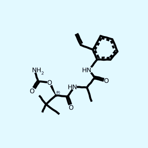 C=Cc1ccccc1NC(=O)C(C)NC(=O)[C@H](OC(N)=O)C(C)(C)C